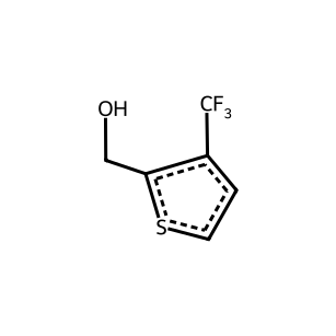 OCc1sccc1C(F)(F)F